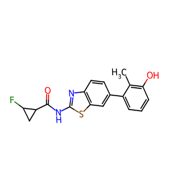 Cc1c(O)cccc1-c1ccc2nc(NC(=O)C3CC3F)sc2c1